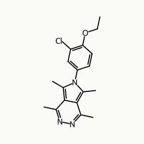 CCOc1ccc(-n2c(C)c3c(C)nnc(C)c3c2C)cc1Cl